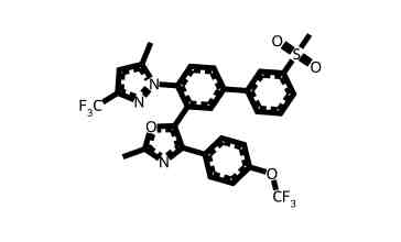 Cc1nc(-c2ccc(OC(F)(F)F)cc2)c(-c2cc(-c3cccc(S(C)(=O)=O)c3)ccc2-n2nc(C(F)(F)F)cc2C)o1